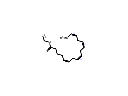 CCCCC/C=C\C/C=C\C/C=C\C/C=C\CCCC(=O)NCC(F)(F)F